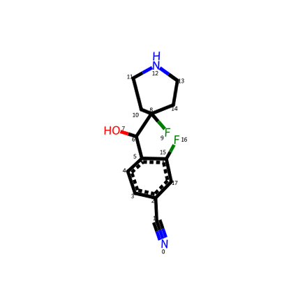 N#Cc1ccc(C(O)C2(F)CCNCC2)c(F)c1